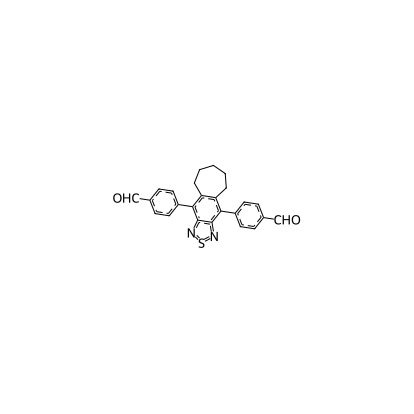 O=Cc1ccc(-c2c3c(c(-c4ccc(C=O)cc4)c4nsnc24)CCCCC3)cc1